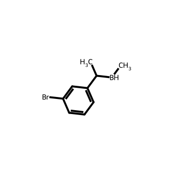 CBC(C)c1cccc(Br)c1